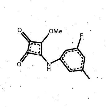 COc1c(Nc2cc(C)cc(F)c2)c(=O)c1=O